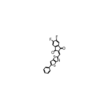 O=C1C(=Cc2nc3sc(-c4ccccc4)cc3s2)C(=O)c2cc(F)c(F)cc21